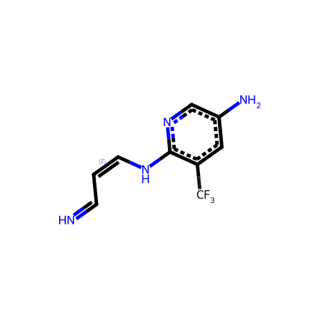 N=C/C=C\Nc1ncc(N)cc1C(F)(F)F